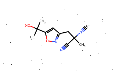 [C-]#[N+]C(C)(C#N)Cc1cc(C(C)(C)O)on1